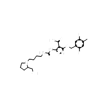 Cc1cc(F)c(COc2nsc(NC(=O)NCCCCN3CCCC3CO)c2C(N)=O)cc1F